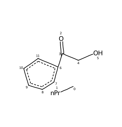 CCCC.O=C(CO)c1ccccc1